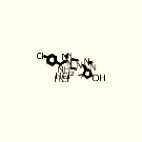 C[C@@H]1C[C@@H](O)c2ncnc(N3CCn4c(nnc4C(N)c4ccc(Cl)cc4)C3)c21.Cl.Cl